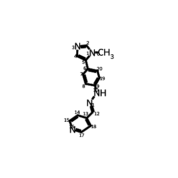 Cn1cncc1-c1ccc(NN=Cc2ccncc2)cc1